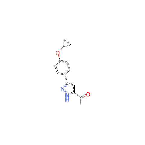 CC(=O)c1cc(-c2ccc(OC3CC3)cc2)n[nH]1